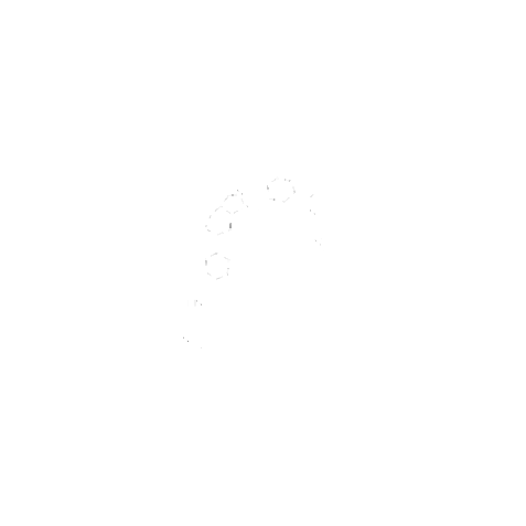 CN1CCN(C(=O)c2cccc(Cn3ncc4ccc(-c5ccc(CNCCN)cc5)cc43)c2)CC1